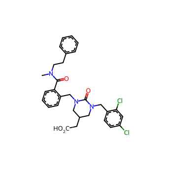 CN(CCc1ccccc1)C(=O)c1ccccc1CN1CC(CC(=O)O)CN(Cc2ccc(Cl)cc2Cl)C1=O